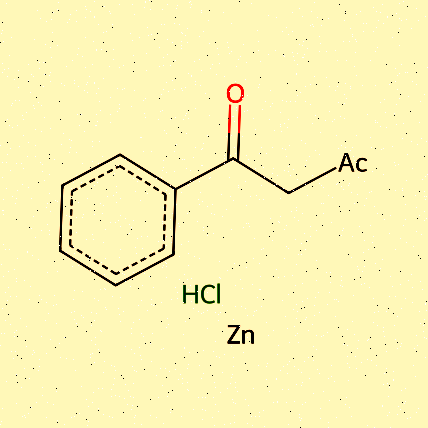 CC(=O)CC(=O)c1ccccc1.Cl.[Zn]